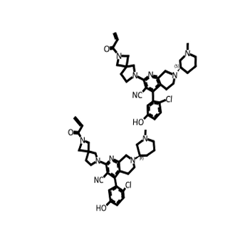 C=CC(=O)N1CC2(CCN(c3nc4c(c(-c5cc(O)ccc5Cl)c3C#N)CCN([C@@H]3CCCN(C)C3)C4)C2)C1.C=CC(=O)N1CC2(CCN(c3nc4c(c(-c5cc(O)ccc5Cl)c3C#N)CCN([C@H]3CCCN(C)C3)C4)C2)C1